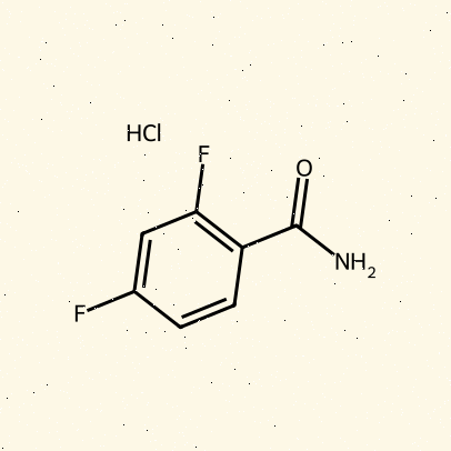 Cl.NC(=O)c1ccc(F)cc1F